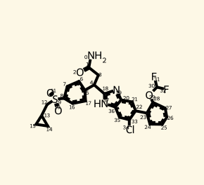 NC(=O)CC(c1ccc(S(=O)(=O)CC2CC2)cc1)c1nc2cc(-c3ccccc3OC(F)F)c(Cl)cc2[nH]1